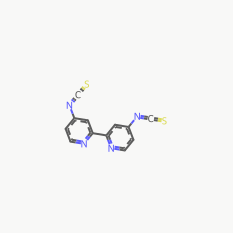 S=C=Nc1ccnc(-c2cc(N=C=S)ccn2)c1